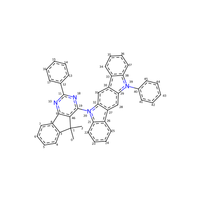 CC1(C)c2ccccc2-c2nc(-c3ccccc3)nc(-n3c4ccccc4c4cc5c(cc43)c3ccccc3n5-c3ccccc3)c21